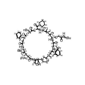 CCCCN1CC(=O)N(C)[C@@H](Cc2ccccc2)C(=O)N[C@@H]([C@@H](C)CC)C(=O)N(C)[C@@H](CC(C)C)C(=O)N[C@@H]([C@@H](C)O)C(=O)N2CCOC(C2)N(C)[C@@H](Cc2ccccc2)C(=O)N(C)[C@@H](CC(C)C)C(=O)N[C@@H](COCC(=O)NC(C)(C)C)C(=O)N(C)C(C)C(=O)N[C@H](C(=O)N2CCCCC2)CC1=O